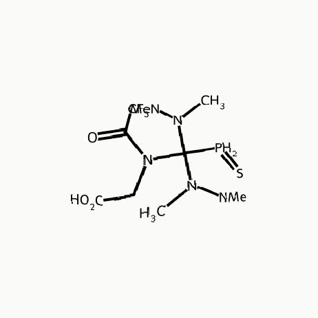 CNN(C)C([PH2]=S)(N(C)NC)N(CC(=O)O)C(=O)C(F)(F)F